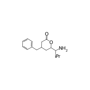 CC(C)C(N)C1CC(Cc2ccccc2)CC(=O)O1